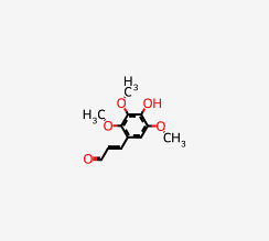 COc1cc(C=CC=O)c(OC)c(OC)c1O